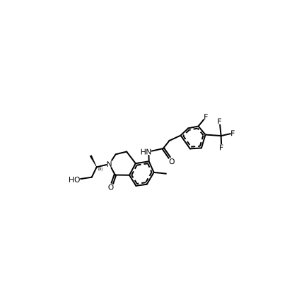 Cc1ccc2c(c1NC(=O)Cc1ccc(C(F)(F)F)c(F)c1)CCN([C@H](C)CO)C2=O